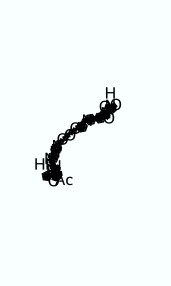 CC(=O)c1c(C)c2cnc(Nc3ccc(N4CCN(CCOCCOCCOc5cccc(CN6CCC(c7ccc8c(c7)CN(C7CCC(=O)NC7=O)C8=O)CC6)c5)CC4)cn3)nc2n(C2CCCC2)c1=O